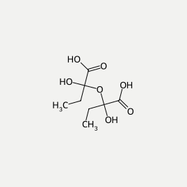 CCC(O)(OC(O)(CC)C(=O)O)C(=O)O